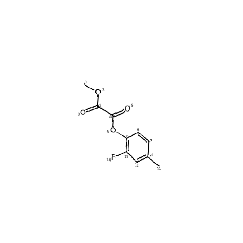 COC(=O)C(=O)Oc1ccc(C)cc1F